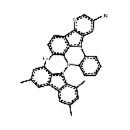 Cc1cc(C)c2c(c1)c1cc(C)cc(C)c1n2B1c2ccccc2-n2c3cc(C(C)(C)C)cnc3c3ccc(C(C)(C)C)c1c32